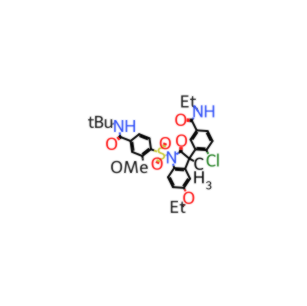 CCNC(=O)c1ccc(Cl)c(C2(C)C(=O)N(S(=O)(=O)c3ccc(C(=O)NC(C)(C)C)cc3OC)c3ccc(OCC)cc32)c1